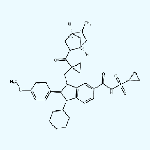 COc1ccc(C2C(C3CCCCC3)c3ccc(C(=O)NS(=O)(=O)C4CC4)cc3N2CC2(C(=O)N3C[C@@H]4C[C@H]3CN4C)CC2)cc1